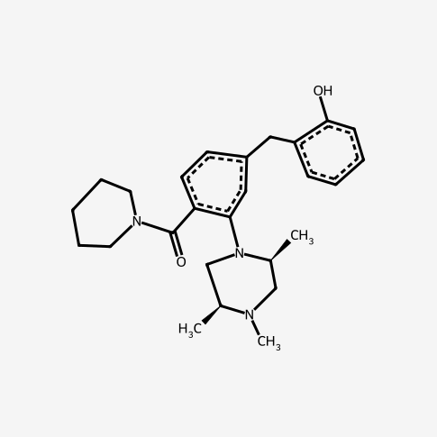 C[C@H]1CN(c2cc(Cc3ccccc3O)ccc2C(=O)N2CCCCC2)[C@@H](C)CN1C